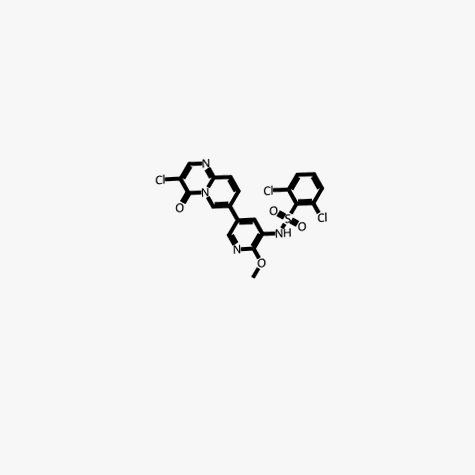 COc1ncc(-c2ccc3ncc(Cl)c(=O)n3c2)cc1NS(=O)(=O)c1c(Cl)cccc1Cl